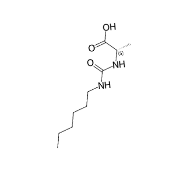 CCCCCCNC(=O)N[C@@H](C)C(=O)O